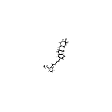 C[C@@H]1CCCN1CCCOc1cnc2[nH]c(CN3CCC(F)(F)CC3)cc2c1